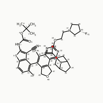 CC(C)(C)OC(=O)Nc1sc2ccc(F)c(-c3c4c(c5c(N6C7CCC6CN(C(=O)O)C7)nc(OCCN6CC[C@H](F)C6)nc5c3F)COC4)c2c1C#N